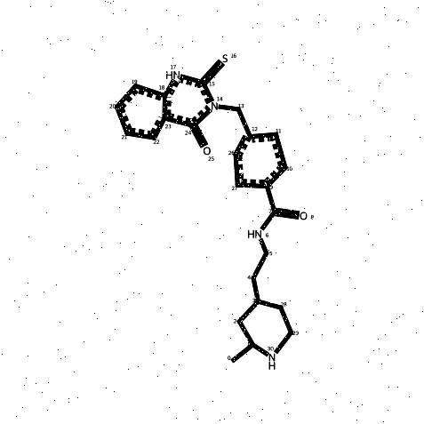 CC1CC(CCNC(=O)c2ccc(Cn3c(=S)[nH]c4ccccc4c3=O)cc2)CCN1